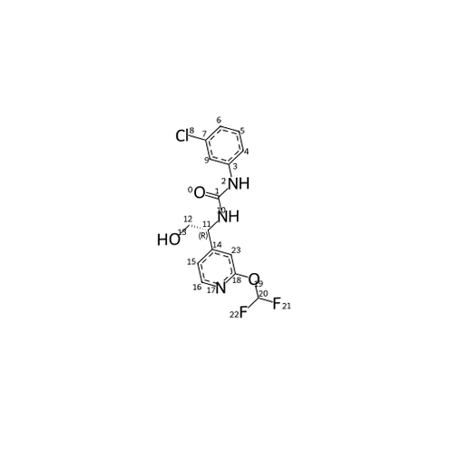 O=C(Nc1cccc(Cl)c1)N[C@@H](CO)c1ccnc(OC(F)F)c1